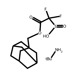 CC(C)(C)N.O=C(OCC12CC3CC(CC(C3)C1)C2)C(F)(F)S(=O)O